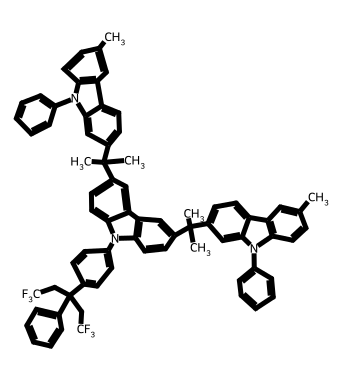 Cc1ccc2c(c1)c1ccc(C(C)(C)c3ccc4c(c3)c3cc(C(C)(C)c5ccc6c7cc(C)ccc7n(-c7ccccc7)c6c5)ccc3n4-c3ccc(C(CC(F)(F)F)(CC(F)(F)F)c4ccccc4)cc3)cc1n2-c1ccccc1